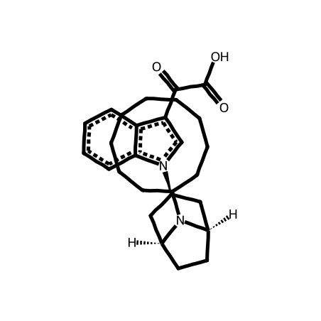 O=C(O)C(=O)c1cn([C@H]2C[C@H]3CC[C@@H](C2)N3C2CCCCCCCCC2)c2ccccc12